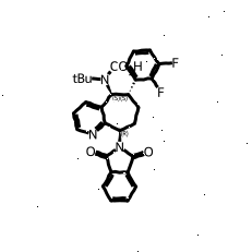 CC(C)(C)N(C(=O)O)[C@@H]1c2cccnc2[C@H](N2C(=O)c3ccccc3C2=O)CC[C@H]1c1cccc(F)c1F